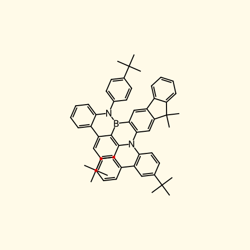 CC(C)(C)c1ccc(N2B3c4cc5c(cc4N(c4ccc(C(C)(C)C)cc4-c4ccccc4)c4cc(C(C)(C)C)cc(c43)-c3ccccc32)C(C)(C)c2ccccc2-5)cc1